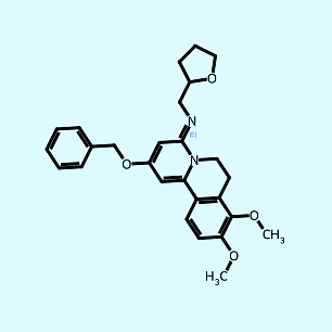 COc1ccc2c(c1OC)CCn1c-2cc(OCc2ccccc2)c/c1=N\CC1CCCO1